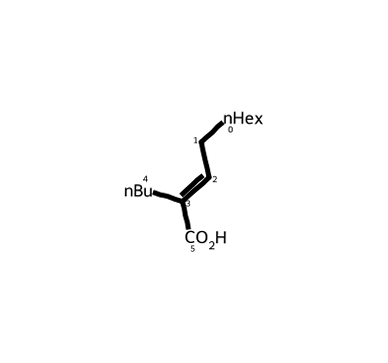 CCCCCCC/C=C(\CCCC)C(=O)O